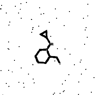 ICC1CCCCN1NC1CC1